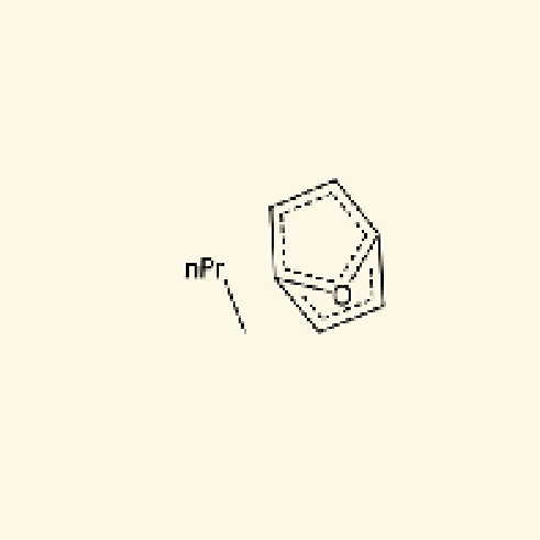 CCCC.c1cc2ccc1o2